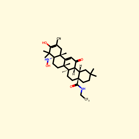 CC1(C)CC[C@]2(C(=O)NCC(F)(F)F)CC[C@]3(C)[C@H](C(=O)C=C4[C@@]3(C)CC[C@@]3(NO)C(C)(C)C(O)=C(C#N)C[C@]43C)[C@@H]2C1